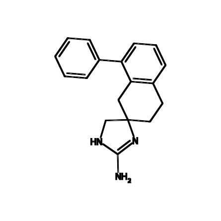 NC1=NC2(CCc3cccc(-c4ccccc4)c3C2)CN1